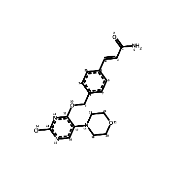 NC(=O)C=Cc1ccc(COc2nc(Cl)ncc2N2CCOCC2)cc1